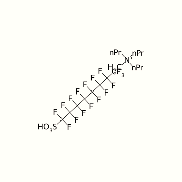 CCC[N+](C)(CCC)CCC.O=S(=O)(O)C(F)(F)C(F)(F)C(F)(F)C(F)(F)C(F)(F)C(F)(F)C(F)(F)C(F)(F)F